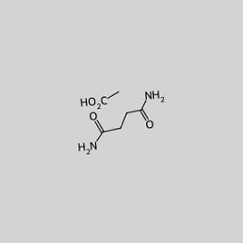 CC(=O)O.NC(=O)CCC(N)=O